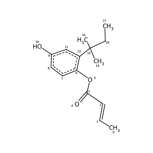 C/C=C/C(=O)Oc1ccc(O)cc1C(C)(C)CC